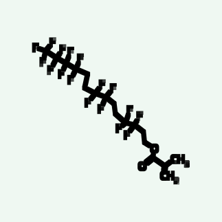 C=C(C)C(=O)OCCC(F)(F)C(F)(F)CCC(F)(F)C(F)(F)CCC(F)(F)C(F)(F)C(F)(F)C(F)(F)F